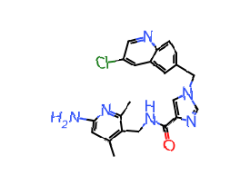 Cc1cc(N)nc(C)c1CNC(=O)c1cn(Cc2ccc3ncc(Cl)cc3c2)cn1